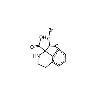 O=C(O)C1(C(=O)CBr)NCCc2ccccc21